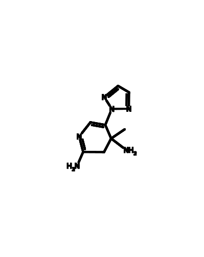 CC1(N)CC(N)=NC=C1n1nccn1